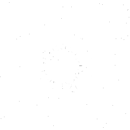 CC[C@H](C)[C@@H]1NC(=O)[C@@H](CCCCN)NC(=O)[C@H](CC(C)C)NC(=O)[C@H]([C@H](O)C(C)C)NC(=O)[C@@H](C)[C@@H](c2ccccc2)NC(=O)C(CO)NC(=O)[C@H](CO)NC(=O)CNC(=O)[C@H]([C@H](C)O)NC1=O